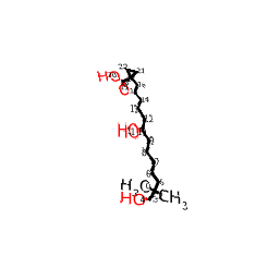 CC(C)(CO)CCCCCC(O)CCCCCC1(C(=O)O)CC1